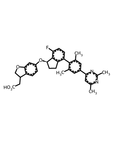 Cc1cc(-c2cc(C)c(-c3ccc(F)c4c3CC[C@H]4Oc3ccc4c(c3)OCC4CC(=O)O)c(C)c2)nc(C)n1